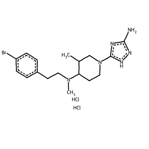 CC1CN(c2nc(N)n[nH]2)CCC1N(C)CCc1ccc(Br)cc1.Cl.Cl